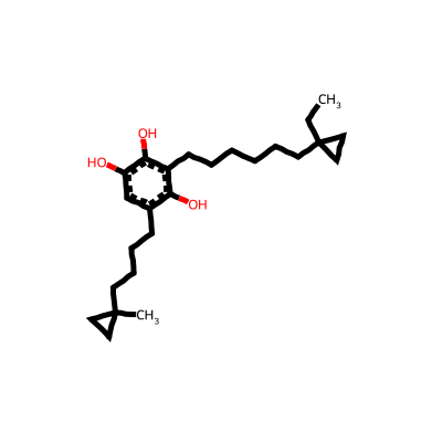 CCC1(CCCCCCc2c(O)c(O)cc(CCCCC3(C)CC3)c2O)CC1